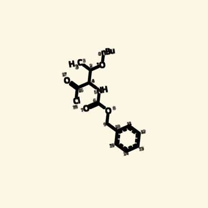 CCCCOC(C)C(NC(=O)OCc1ccccc1)C(=O)Cl